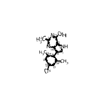 Cc1nc(O)c2[nH]cc(-c3c(C)cc(Cl)cc3C)c2n1